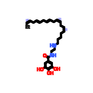 CC/C=C\CC=CCC=CC/C=C\C/C=C\CCCCNCCNC(=O)c1cc(O)c(O)c(O)c1